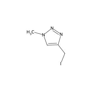 Cn1cc(CI)nn1